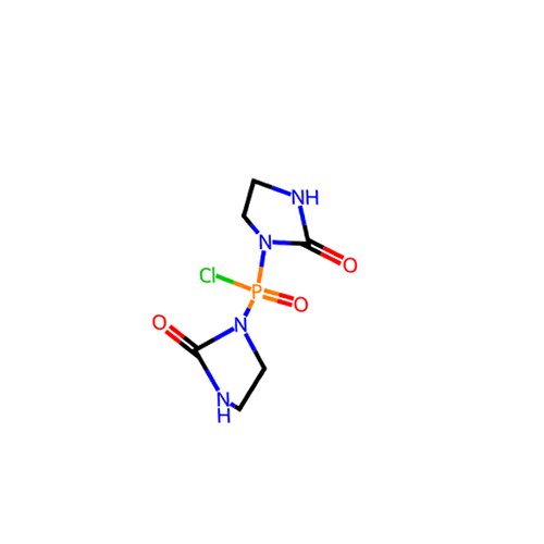 O=C1NCCN1P(=O)(Cl)N1CCNC1=O